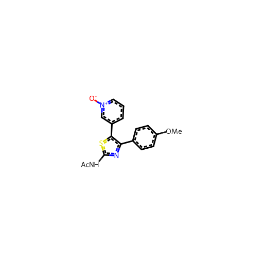 COc1ccc(-c2nc(NC(C)=O)sc2-c2ccc[n+]([O-])c2)cc1